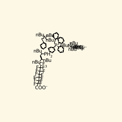 CCCCC(=CC(P)CCCC)CCCC.CCCC[N+](CCCC)(CCCC)CCCC.CCCC[N+](CCCC)(CCCC)Cc1ccccc1.Cl.Cl.N.O=C([O-])C(F)(F)C(F)(F)C(F)(F)C(F)(F)C(F)(F)C(F)(F)C(F)(F)F.[Br-].[Cl-].c1ccc(C[P+](c2ccccc2)(c2ccccc2)c2ccccc2)cc1